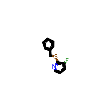 Fc1cccnc1SCc1ccccc1